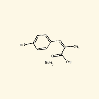 CC(=Cc1ccc(O)cc1)C(=O)O.[BeH2]